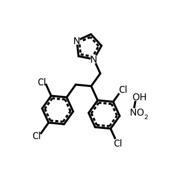 Clc1ccc(CC(Cn2ccnc2)c2ccc(Cl)cc2Cl)c(Cl)c1.O=[N+]([O-])O